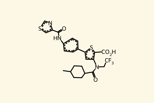 CC1CCC(C(=O)N(CC(F)(F)F)c2cc(-c3ccc(NC(=O)c4cscn4)cc3)sc2C(=O)O)CC1